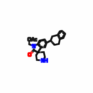 CC(=O)OCN1C(=O)C2(CCNCC2)c2cc(C3CCc4ccccc4C3)ccc21